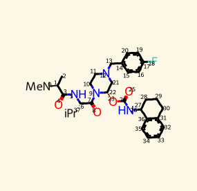 CN[C@@H](C)C(=O)N[C@H](C(=O)N1CCN(Cc2ccc(F)cc2)C[C@@H]1OC(=O)NC1CCCc2ccccc21)C(C)C